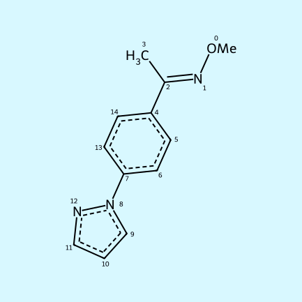 CO/N=C(\C)c1ccc(-n2cccn2)cc1